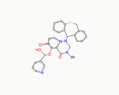 CC(C)N1CN(C2c3ccccc3CSc3ccccc32)n2ccc(=O)c(OC(O)c3cccnc3)c2C1=O